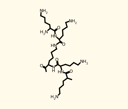 CC(=O)C(CCCCNC(=O)C(CCCCN)NC(=O)C(N)CCCCN)NC(=O)C(CCCCN)NC(=O)C(C)CCCCN